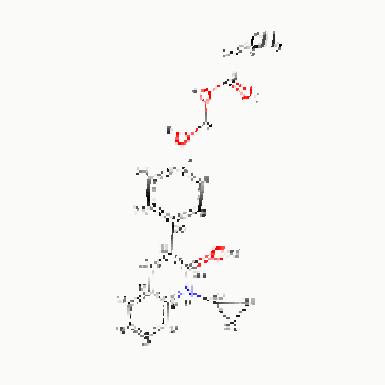 C=CC(=O)OCOc1ccc(-c2cc3ccccc3n(C3CC3)c2=O)cc1